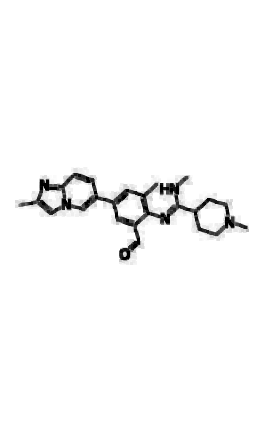 CN/C(=N\c1c(C)cc(-c2ccc3nc(C)cn3c2)cc1C=O)C1CCN(C)CC1